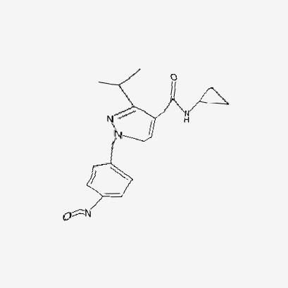 CC(C)c1nn(-c2ccc(N=O)cc2)cc1C(=O)NC1CC1